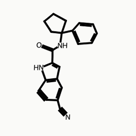 N#Cc1c#cc2[nH]c(C(=O)NC3(c4ccccc4)CCCC3)cc2c1